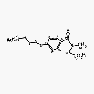 CC(=O)NCCCCc1ccc(C(=O)C(C)CC(=O)O)cc1